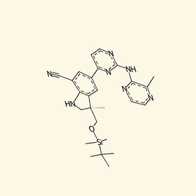 Cc1nccnc1Nc1nccc(-c2cc(C#N)c3c(c2)[C@@](C)(CO[Si](C)(C)C(C)(C)C)CN3)n1